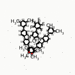 Cc1cc(C)cc(-c2ccc3c4ccc(-c5cc(C)cc(C)c5)cc4n(-c4cc(-c5c(F)c(F)c(F)c(F)c5F)cc(-n5c6cc(-c7cc(C)cc(C)c7)ccc6c6ccc(-c7cc(C)cc(C)c7)cc65)c4C(F)(F)F)c3c2)c1